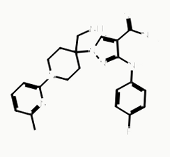 Cc1cccc(N2CCC(CN)(n3cc(C(N)=O)c(Nc4ccc(F)cc4)n3)CC2)n1